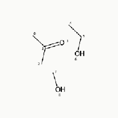 CC(C)=O.CCO.CO